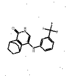 O=c1[nH]cc(Nc2cccc(C(F)(F)F)c2)c2c1C1CCC2CC1